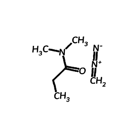 C=[N+]=[N-].CCC(=O)N(C)C